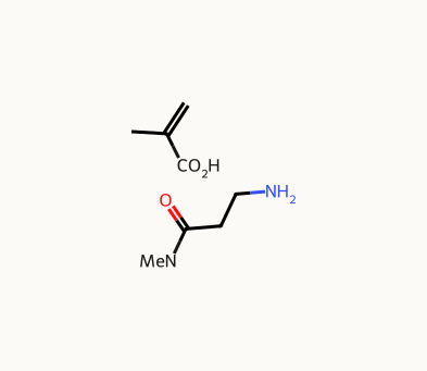 C=C(C)C(=O)O.CNC(=O)CCN